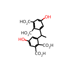 CC(c1cc(O)cc(C(=O)O)c1C(=O)O)c1cc(O)cc(C(=O)O)c1C(=O)O